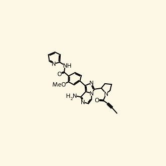 CC#CC(=O)N1CCCC1c1nc(-c2ccc(C(=O)Nc3ccccn3)c(OC)c2)c2c(N)nccn12